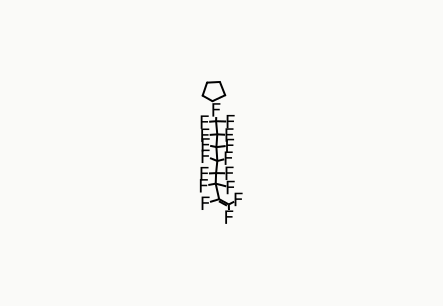 C1CCCC1.FC(F)=C(F)C(F)(F)C(F)(F)C(F)(F)C(F)(F)C(F)(F)C(F)(F)F